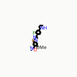 COc1cc2c(cc1C(=O)N(C)C)sc1nc(-c3ccc(C4CCCN4)cc3F)cn12